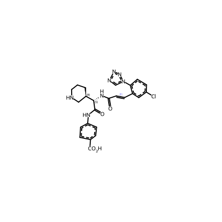 O=C(/C=C/c1cc(Cl)ccc1-n1cnnn1)N[C@H](C(=O)Nc1ccc(C(=O)O)cc1)[C@@H]1CCCNC1